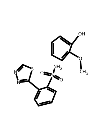 COc1ccccc1O.NS(=O)(=O)c1ccccc1-c1nncs1